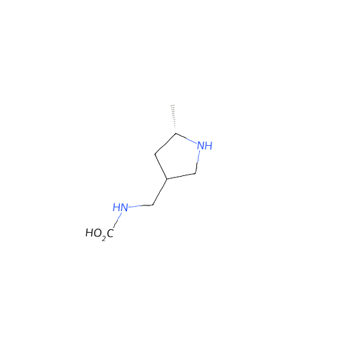 C[C@H]1CC(CNC(=O)O)CN1